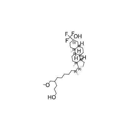 COCC(CCCO)CCCCC[C@@H](C)[C@H]1CC[C@H]2[C@@H]3CC[C@H]4C[C@](O)(C(F)(F)F)CC[C@]4(C)[C@H]3CC[C@]12C